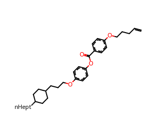 C=CCCCOc1ccc(C(=O)Oc2ccc(OCCCC3CCC(CCCCCCC)CC3)cc2)cc1